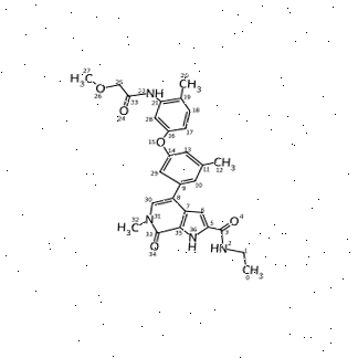 CCNC(=O)c1cc2c(-c3cc(C)cc(Oc4ccc(C)c(NC(=O)COC)c4)c3)cn(C)c(=O)c2[nH]1